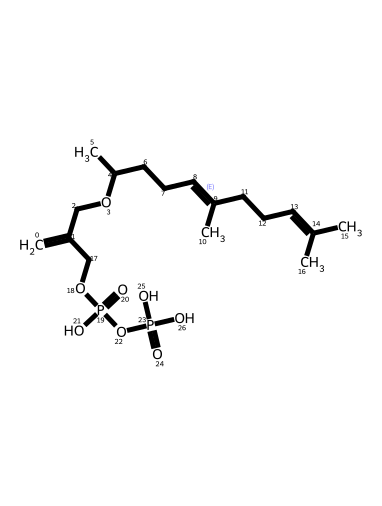 C=C(COC(C)CC/C=C(\C)CCC=C(C)C)COP(=O)(O)OP(=O)(O)O